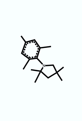 Cc1cc(C)c(N2CC(C)(C)CC2(C)C)c(C)c1